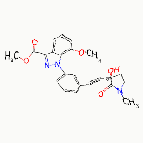 COC(=O)c1nn(-c2cccc(C#C[C@]3(O)CCN(C)C3=O)c2)c2c(OC)cccc12